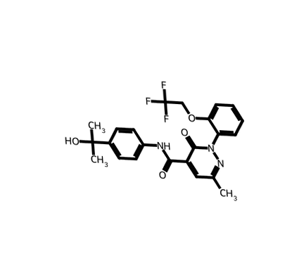 Cc1cc(C(=O)Nc2ccc(C(C)(C)O)cc2)c(=O)n(-c2ccccc2OCC(F)(F)F)n1